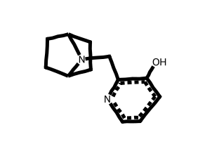 Oc1cccnc1CN1C2CCC1CC2